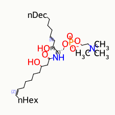 CCCCCC/C=C\CCCCCC(O)CC(=O)N[C@@H](COP(=O)([O-])OCC[N+](C)(C)C)[C@H](O)/C=C/CCCCCCCCCCCCC